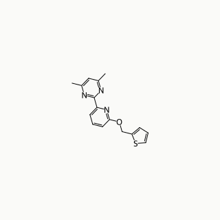 Cc1cc(C)nc(-c2cccc(OCc3cccs3)n2)n1